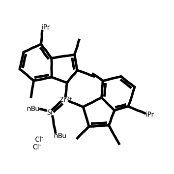 CCCC[Si](CCCC)=[Zr+2]([CH]1C(C)=C(C)c2c(C(C)C)ccc(C)c21)[CH]1C(C)=C(C)c2c(C(C)C)ccc(C)c21.[Cl-].[Cl-]